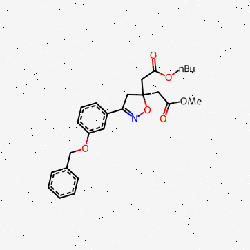 CCCCOC(=O)CC1(CC(=O)OC)CC(c2cccc(OCc3ccccc3)c2)=NO1